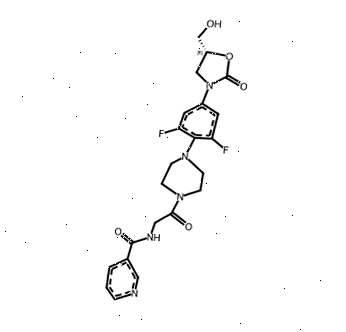 O=C(NCC(=O)N1CCN(c2c(F)cc(N3C[C@H](CO)OC3=O)cc2F)CC1)c1cccnc1